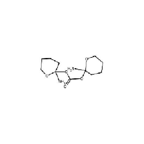 O=C(OC1([SiH3])CCCCO1)OC1([SiH3])CCCCO1